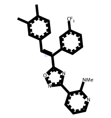 CNc1ncccc1-c1noc(/C(=C/c2ccc(C)c(C)c2)c2cccc(C(F)(F)F)c2)n1